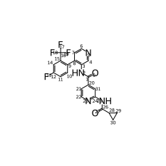 O=C(Nc1cnccc1-c1ccc(F)cc1C(F)(F)F)c1ccnc(NC(=O)C2CC2)c1